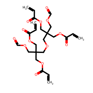 C=CC(=O)OCC(COC=O)(COCC(COC=O)(COC(=O)C=C)COC(=O)C=C)COC(=O)C=C